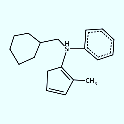 CC1=C([SiH](CC2CCCCC2)c2ccccc2)CC=C1